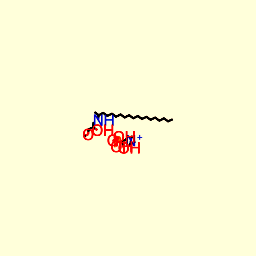 CCCCCCCCCCCCCCCCCC(C)NCC(O)COC.C[N+](C)(C)CC(O)P(=O)(O)O